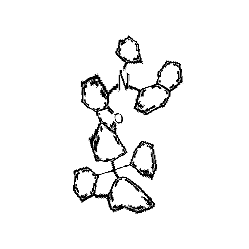 c1ccc(N(c2cccc3ccccc23)c2cccc3c2oc2cc(C4(c5ccccc5)c5ccccc5-c5ccccc54)ccc23)cc1